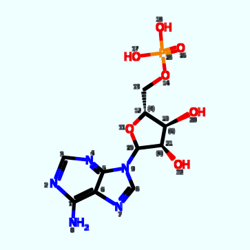 Nc1ncnc2c1ncn2C1O[C@H](COP(=O)(O)O)[C@@H](O)[C@H]1O